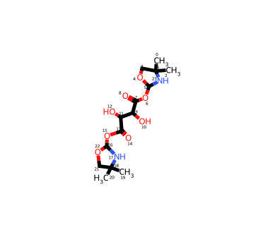 CC1(C)COC(OC(=O)C(O)C(O)C(=O)OC2NC(C)(C)CO2)N1